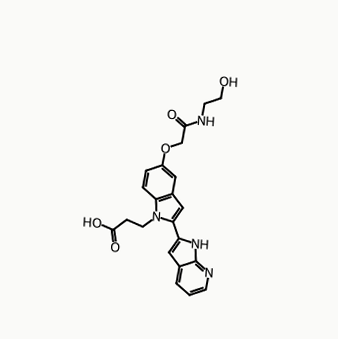 O=C(O)CCn1c(-c2cc3cccnc3[nH]2)cc2cc(OCC(=O)NCCO)ccc21